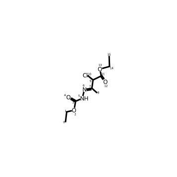 CCOC(=O)N/N=C(\C)C(Cl)C(=O)OCC